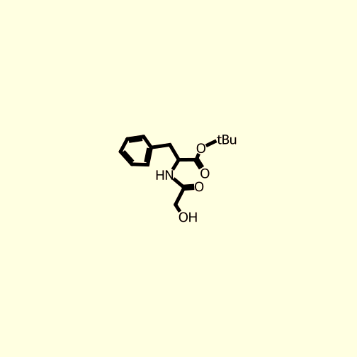 CC(C)(C)OC(=O)C(Cc1ccccc1)NC(=O)CO